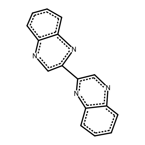 c1ccc2nc(-c3cnc4ccccc4n3)cnc2c1